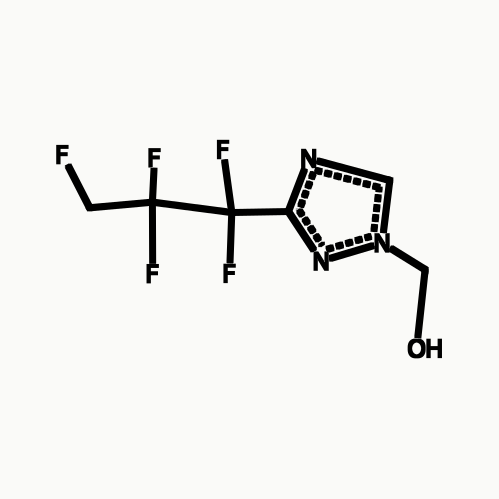 OCn1cnc(C(F)(F)C(F)(F)CF)n1